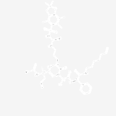 C=CCCCCCNC(=O)[C@H](NC(=O)[C@H](CC)NC(=O)[C@H](CCCNC(=N)NS(=O)(=O)c1c(C)c(C)c2c(c1C)CC(C)(C)O2)NC(=O)[C@@](C)(CC=C)NC(=O)C(C)C)c1ccccc1